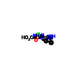 CCCCc1nc(Cl)c(COC(=O)[C@H](N)CC(=O)O)n1Cc1ccc(-c2ccccc2-c2nn[nH]n2)cc1